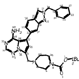 CC(C)(C)OC(=O)N1CCN(Cc2cc(-c3ccc4cn(Cc5ccccc5)nc4c3)c3c(N)ncnn23)CC1